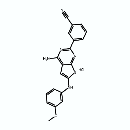 COc1cccc(Nc2cc3c(N)nc(-c4cccc(C#N)c4)nc3s2)c1.Cl